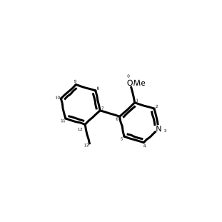 COc1cnccc1-c1ccccc1C